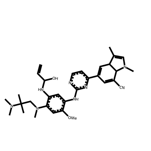 C=CC(O)Nc1cc(Nc2nccc(C3=CC4C(C)=CN(C)C4C(C#N)=C3)n2)c(OC)cc1N(C)CC(C)(C)N(C)C